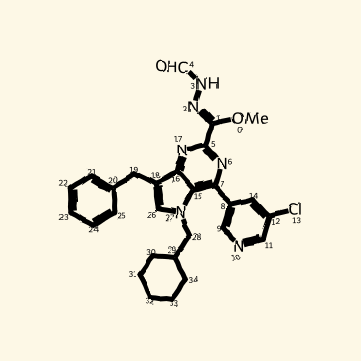 CO/C(=N\NC=O)c1nc(-c2cncc(Cl)c2)c2c(n1)c(Cc1ccccc1)cn2CC1CCCCC1